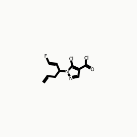 C=CCC(C=CF)n1ncc(C(=O)Cl)c1Cl